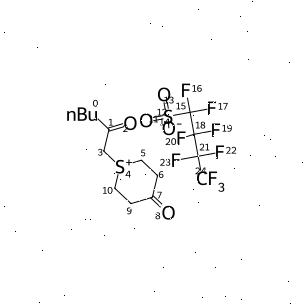 CCCCC(=O)C[S+]1CCC(=O)CC1.O=S(=O)([O-])C(F)(F)C(F)(F)C(F)(F)C(F)(F)F